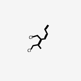 C=C/C=C\C(CCl)=C(/C)CCl